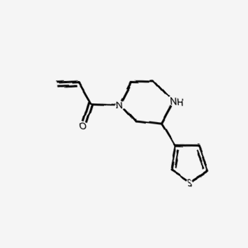 C=CC(=O)N1CCNC(c2ccsc2)C1